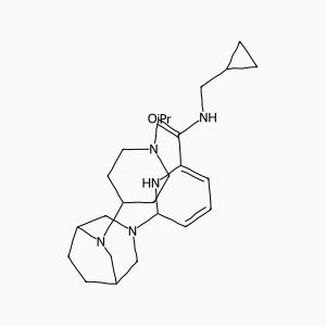 CC(C)N1CCC(N2CC3CCC2CN(C2C=CC=C(C(=O)NCC4CC4)N2)C3)CC1